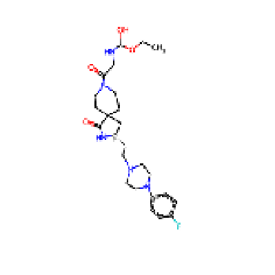 CCOC(O)NCC(=O)N1CCC2(CC1)C[C@H](CCN1CCN(c3ccc(F)cc3)CC1)NC2=O